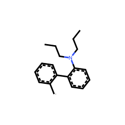 [CH2]c1ccccc1-c1ccccc1N(CCC)CCC